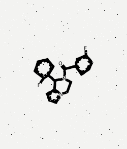 O=C(c1cccc(F)c1)N1CCn2cccc2C1c1ccccc1F